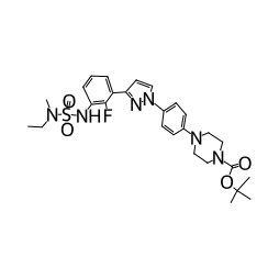 CCN(C)S(=O)(=O)Nc1cccc(-c2ccn(-c3ccc(N4CCN(C(=O)OC(C)(C)C)CC4)cc3)n2)c1F